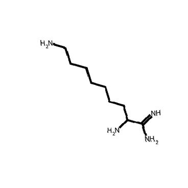 N=C(N)C(N)CCCCCCCN